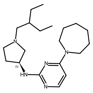 CCC(CC)CN1CC[C@H](Nc2nccc(N3CCCCCC3)n2)C1